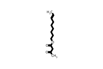 CC=CCCCCCCOC(=O)CC(C)=O